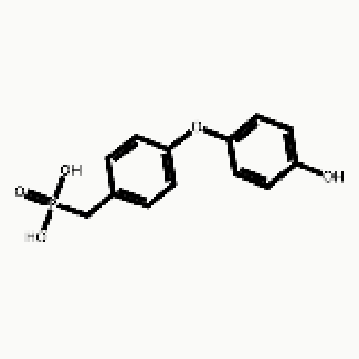 O=P(O)(O)Cc1ccc(Oc2ccc(O)cc2)cc1